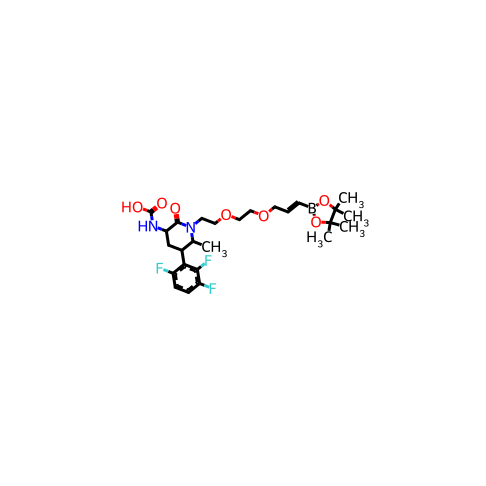 CC1C(c2c(F)ccc(F)c2F)CC(NC(=O)O)C(=O)N1CCOCCOC/C=C/B1OC(C)(C)C(C)(C)O1